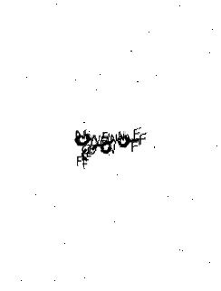 O=C(Nc1cnccc1OCC(F)(F)F)c1ccnc(Nc2ccc(C(F)(F)F)cn2)c1F